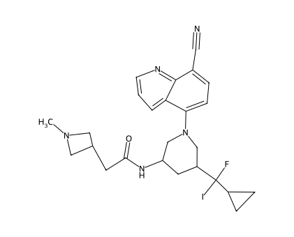 CN1CC(CC(=O)NC2CC(C(F)(I)C3CC3)CN(c3ccc(C#N)c4ncccc34)C2)C1